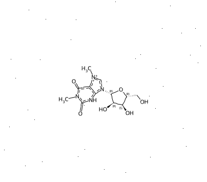 Cn1c(=O)[nH]c2c(c1=O)[n+](C)cn2[C@@H]1O[C@H](CO)[C@@H](O)[C@H]1O